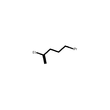 C=C(CC)CCCC(C)C